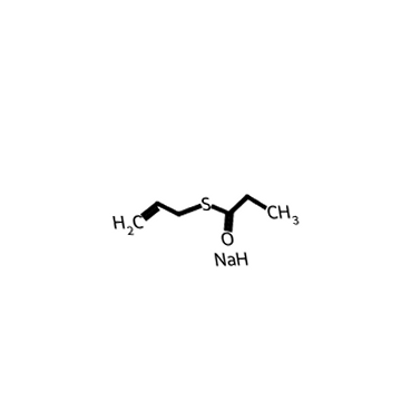 C=CCSC(=O)CC.[NaH]